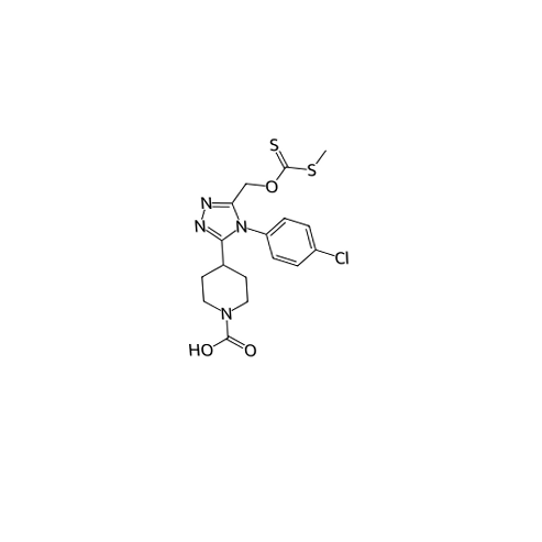 CSC(=S)OCc1nnc(C2CCN(C(=O)O)CC2)n1-c1ccc(Cl)cc1